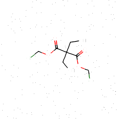 CCC(CC)(C(=O)OCCl)C(=O)OCCl